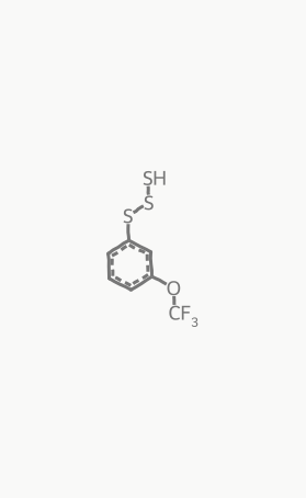 FC(F)(F)Oc1cccc(SSS)c1